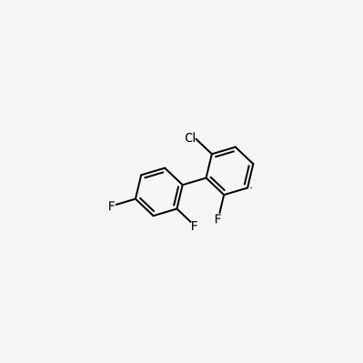 Fc1ccc(-c2c(F)[c]ccc2Cl)c(F)c1